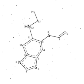 C=CSc1cc2scnc2cc1NCC